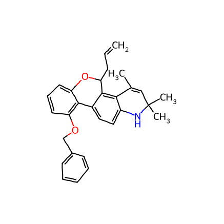 C=CCC1Oc2cccc(OCc3ccccc3)c2-c2ccc3c(c21)C(C)=CC(C)(C)N3